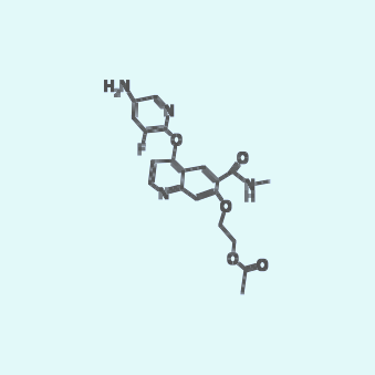 CNC(=O)c1cc2c(Oc3ncc(N)cc3F)ccnc2cc1OCCOC(C)=O